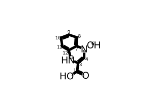 O=C(O)C1=CN(O)c2ccccc2N1